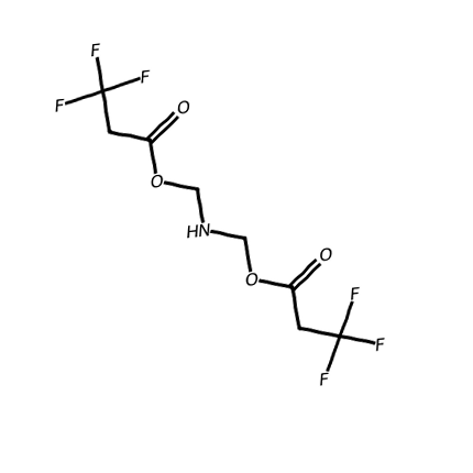 O=C(CC(F)(F)F)OCNCOC(=O)CC(F)(F)F